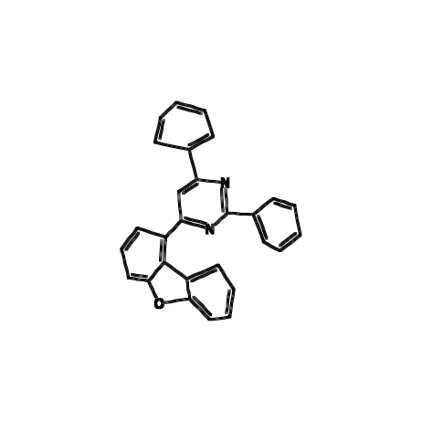 c1ccc(-c2cc(-c3cccc4oc5ccccc5c34)nc(-c3ccccc3)n2)cc1